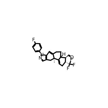 C[C@]12Cc3cnn(-c4ccc(F)cc4)c3C=C1CC[C@H]1C2=CC[C@@H](C(F)(F)F)[C@@H]1C=O